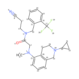 CN(CC(=O)N(CCC#N)Cc1ccccc1C(F)(F)F)c1cccc2c1CCN(C1CC1)C2